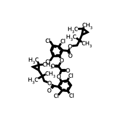 CC(C)(COC(=O)c1c(Cl)c(Cl)cc(Cl)c1OC(=O)C(=O)Oc1c(Cl)cc(Cl)c(Cl)c1C(=O)OCC(C)(C)C1CC1(C)C)C1CC1(C)C